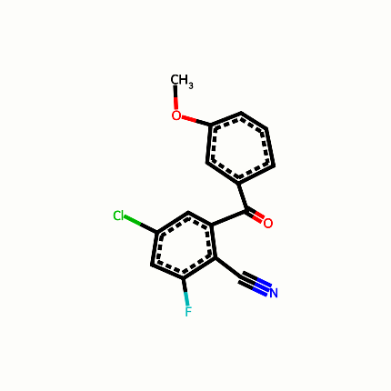 COc1cccc(C(=O)c2cc(Cl)cc(F)c2C#N)c1